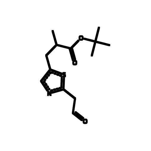 CC(Cc1cnc(CC=O)s1)C(=O)OC(C)(C)C